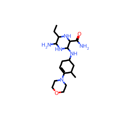 CCC1NC(C(N)=O)C(NC2CC=C(N3CCOCC3)C(C)C2)NC1N